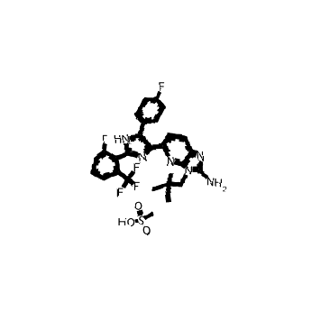 CC(C)(C)Cn1c(N)nc2ccc(-c3nc(-c4c(F)cccc4C(F)(F)F)[nH]c3-c3ccc(F)cc3)nc21.CS(=O)(=O)O